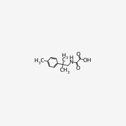 Cc1ccc(C(C)(C)CNC(=O)C(=O)O)cc1